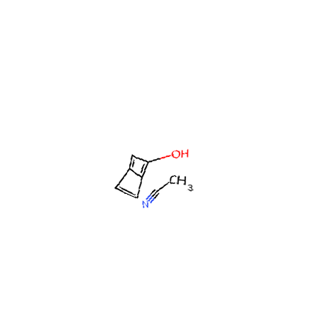 CC#N.Oc1cc2ccc1-2